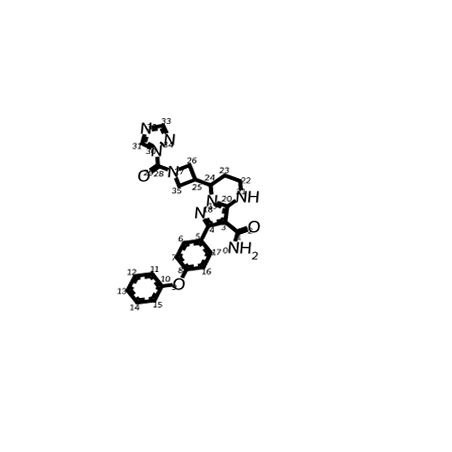 NC(=O)c1c(-c2ccc(Oc3ccccc3)cc2)nn2c1NCCC2C1CN(C(=O)n2cncn2)C1